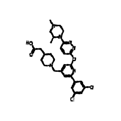 C[C@H]1CN(C)CCN1c1ccc(Oc2cc(CN3CCC(CC(=O)O)CC3)cc(-c3cc(Cl)cc(Cl)c3)n2)nn1